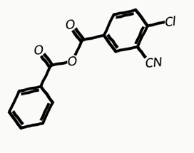 N#Cc1cc(C(=O)OC(=O)c2ccccc2)ccc1Cl